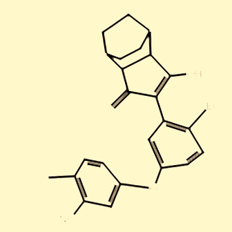 CCc1ccc(Oc2ccc(C(F)(F)F)c(C#N)c2)cc1C1=C(O)C2C3CCC(CC3)C2C1=O